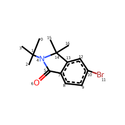 CC(C)(C)N1C(=O)c2ccc(Br)cc2C1(C)C